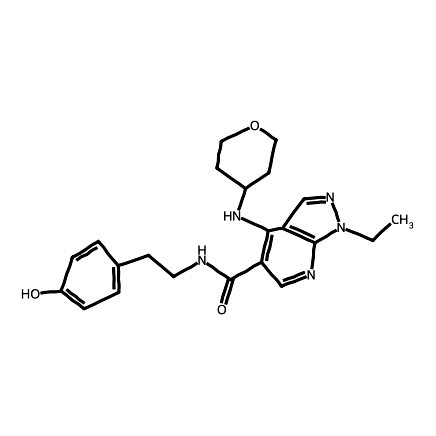 CCn1ncc2c(NC3CCOCC3)c(C(=O)NCCc3ccc(O)cc3)cnc21